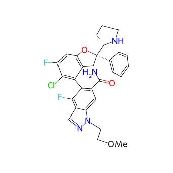 COCCn1ncc2c(F)c(-c3c(Cl)c(F)cc4c3C[C@](c3ccccc3)([C@@H]3CCCN3)O4)c(C(N)=O)cc21